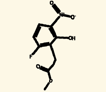 COC(=O)Cc1c(F)ccc([N+](=O)[O-])c1O